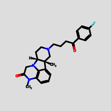 CN1C(=O)CN2c3c1cccc3[C@@]1(C)CN(CCCC(=O)c3ccc(F)cc3)CC[C@@H]21